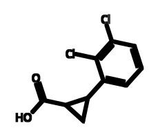 O=C(O)C1CC1c1cccc(Cl)c1Cl